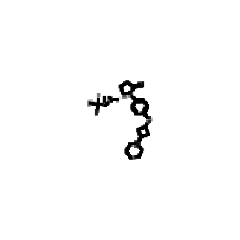 O=C1CC[C@@H](CNCC(F)(F)F)N1c1ccc(OC2CC(N3CCCCC3)C2)cc1